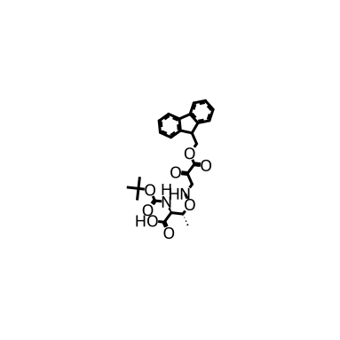 C[C@@H](ONCC(=O)C(=O)OCC1c2ccccc2-c2ccccc21)[C@H](NC(=O)OC(C)(C)C)C(=O)O